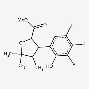 COC(=O)C1OC(C)(C(F)(F)F)C(C)C1c1cc(I)c(F)c(F)c1O